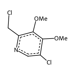 COc1c(Cl)cnc(CCl)c1OC